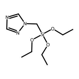 CCO[Si](Cn1cncn1)(OCC)OCC